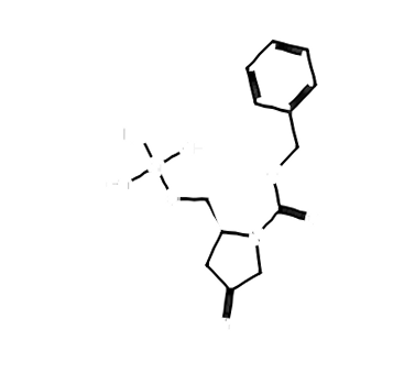 CC(C)(C)[Si](C)(C)OC[C@@H]1CC(=O)CN1C(=O)OCc1ccccc1